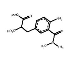 COC(=O)C(Cc1ccc(N)c(C(=O)N(C)C)c1)C(=O)O